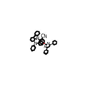 N#Cc1cc(-c2nc(-c3ccccc3)cc(-c3ccccc3)n2)ccc1-n1c2ccccc2c2cccc(N(c3ccccc3)c3ccccc3)c21